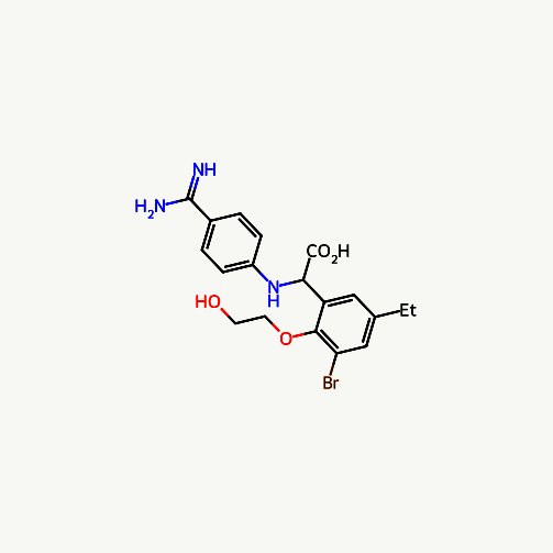 CCc1cc(Br)c(OCCO)c(C(Nc2ccc(C(=N)N)cc2)C(=O)O)c1